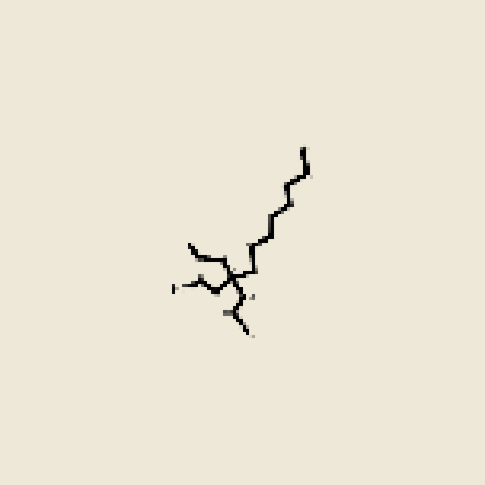 CCCCCCCCC(CCC)(CCC)CCO